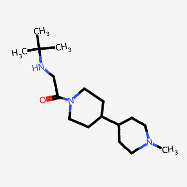 CN1CCC(C2CCN(C(=O)CNC(C)(C)C)CC2)CC1